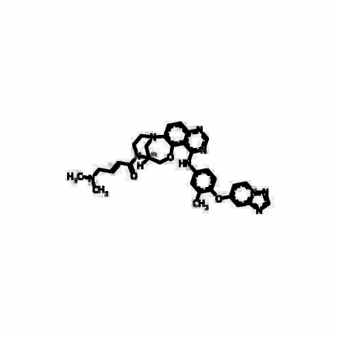 Cc1cc(Nc2ncnc3ccc4c(c23)OC[C@H]2CN4CCN2C(=O)/C=C/CN(C)C)ccc1Oc1ccn2ncnc2c1